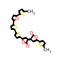 Cc1ccc(C2=C/C(=C3/C=C(c4ccc(-c5ccc(-c6ccc(-c7ccc(C)s7)o6)s5)s4)OC3=O)C(=O)O2)s1